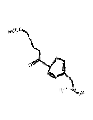 CC(=O)N(C)Cc1ccc(C(=O)CCCC(=O)O)cc1